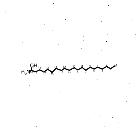 CCCCCCCCCCCCCCCCCCCCC(N)O